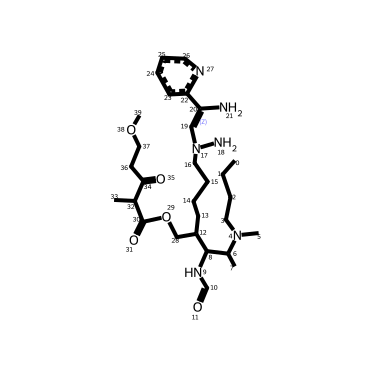 CCCCN(C)C(C)C(NC=O)C(CCCCN(N)/C=C(\N)c1ccccn1)COC(=O)C(C)C(=O)CCOC